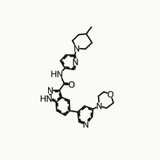 CC1CCN(c2ccc(NC(=O)c3n[nH]c4ccc(-c5cncc(N6CCOCC6)c5)cc34)cn2)CC1